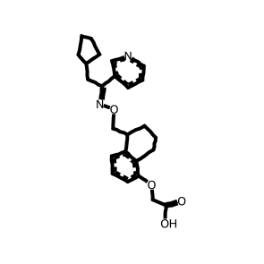 O=C(O)COc1cccc2c1CCCC2CO/N=C(/CC1CCCC1)c1cccnc1